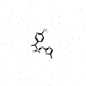 Cc1cnc(N=S(C)(=O)C(C)c2ccc(C(F)(F)F)nc2)s1